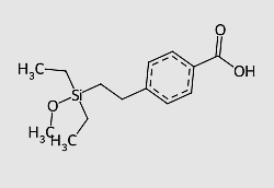 CC[Si](CC)(CCc1ccc(C(=O)O)cc1)OC